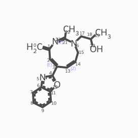 C=C1/C=C(c2nc3ccccc3o2)\C=C/CN(CC(C)O)/C(C)=N\1